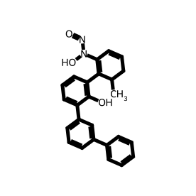 CC1CC=CC(N(O)N=O)=C1c1cccc(-c2cccc(-c3ccccc3)c2)c1O